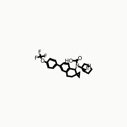 O=C(O)N(C1CN2CCC1CC2)[C@@H]1c2ccc(-c3ccc(OC(F)(F)F)cc3)cc2CCC12CC2